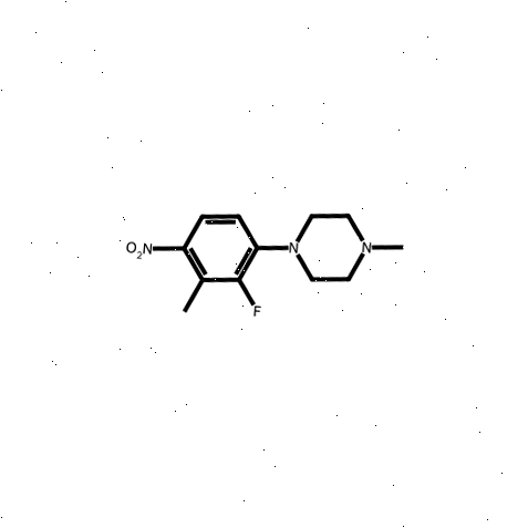 Cc1c([N+](=O)[O-])ccc(N2CCN(C)CC2)c1F